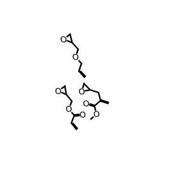 C=C(CC1CO1)C(=O)OC.C=CC(=O)OCC1CO1.C=CCOCC1CO1